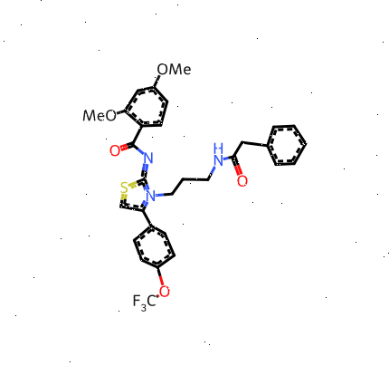 COc1ccc(C(=O)/N=c2\scc(-c3ccc(OC(F)(F)F)cc3)n2CCCNC(=O)Cc2ccccc2)c(OC)c1